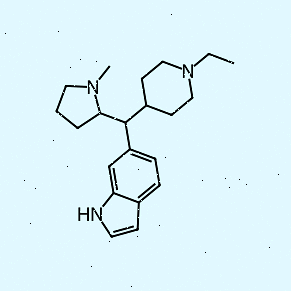 CCN1CCC(C(c2ccc3cc[nH]c3c2)C2CCCN2C)CC1